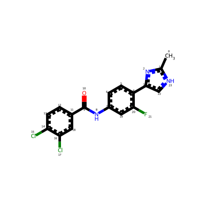 Cc1nc(-c2ccc(NC(=O)c3ccc(Cl)c(Cl)c3)cc2F)c[nH]1